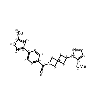 COc1ccnn1C1CC2(C1)CN(C(=O)c1ccc(-c3noc(C(C)(C)C)n3)cc1)C2